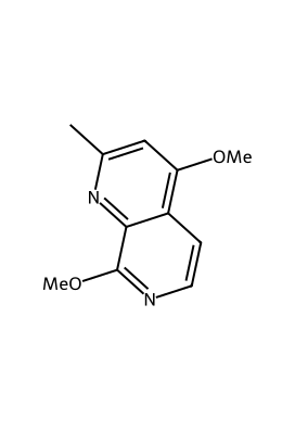 COc1cc(C)nc2c(OC)nccc12